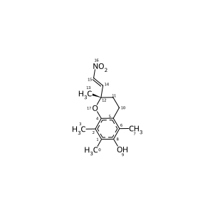 Cc1c(C)c2c(c(C)c1O)CC[C@@](C)(/C=C/[N+](=O)[O-])O2